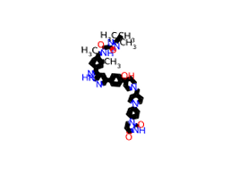 Cc1cc(-c2n[nH]c3ncc(-c4ccc(C5(O)CCN(CC6CCN(c7ccc(N8CCC(=O)NC8=O)cc7)CC6)CC5)cc4)cc23)ccc1C(C)NC(=O)c1nc(C(C)(C)C)no1